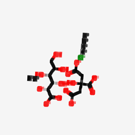 O=C([O-])CC(O)(CC(=O)[O-])C(=O)[O-].O=C([O-])[C@H]([O-])[C@@H](O)[C@H](O)[C@H](O)CO.[Cl-].[K+].[K+].[K+].[K+].[K+].[K+]